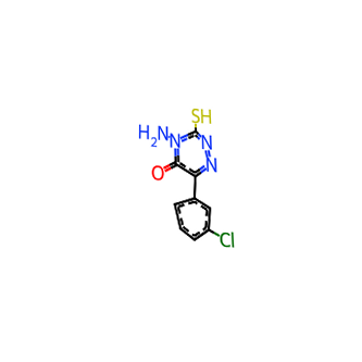 Nn1c(S)nnc(-c2cccc(Cl)c2)c1=O